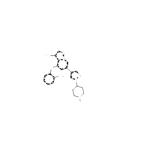 CC(=O)N1CCC(n2cc(-c3cc(Sc4ccccc4C#N)c4c(C#N)cnn4c3)cn2)CC1